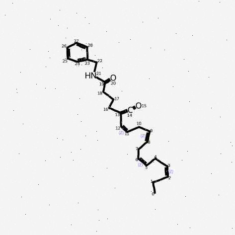 CC/C=C\C/C=C\C/C=C\C/C=C\C(=C=O)CCCC(=O)NCc1ccccc1